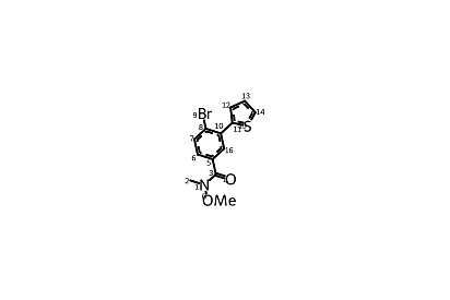 CON(C)C(=O)c1ccc(Br)c(-c2cccs2)c1